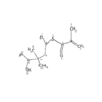 C=C(C)C(=O)SC(CC)CC(C)(C)N(O)C(C)C